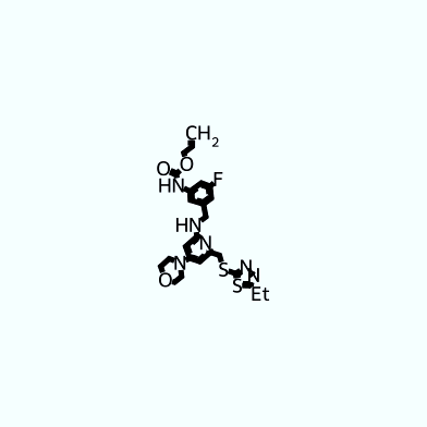 C=CCOC(=O)Nc1cc(F)cc(CNc2cc(N3CCOCC3)cc(CSc3nnc(CC)s3)n2)c1